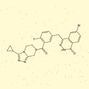 O=C(c1cc(Cc2n[nH]c(=O)c3ccc(Br)cc23)ccc1F)N1CCn2c(nnc2C2CC2)C1